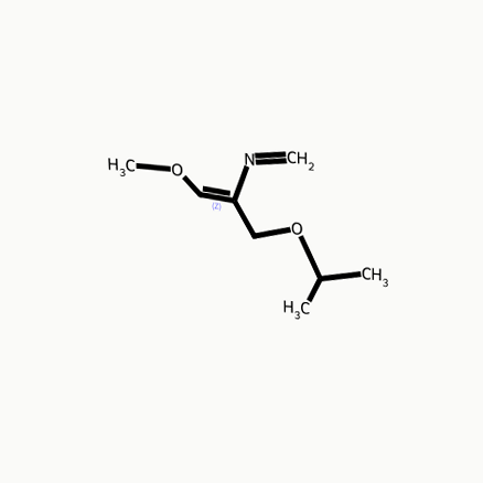 C=N/C(=C\OC)COC(C)C